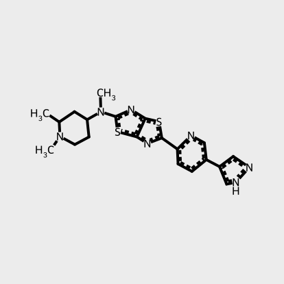 CC1CC(N(C)c2nc3sc(-c4ccc(-c5cn[nH]c5)cn4)nc3s2)CCN1C